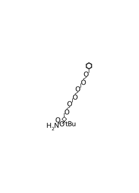 CC(C)(C)C1(OC(N)=O)CC(COCCOCCOCCOCCOCCOCc2ccccc2)C1